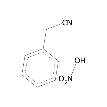 N#CCc1ccccc1.O=[N+]([O-])O